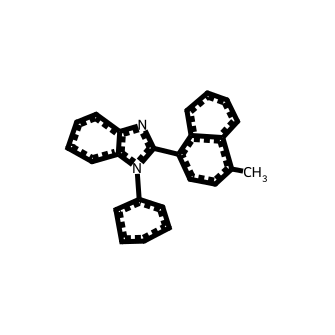 Cc1ccc(-c2nc3ccccc3n2-c2ccccc2)c2ccccc12